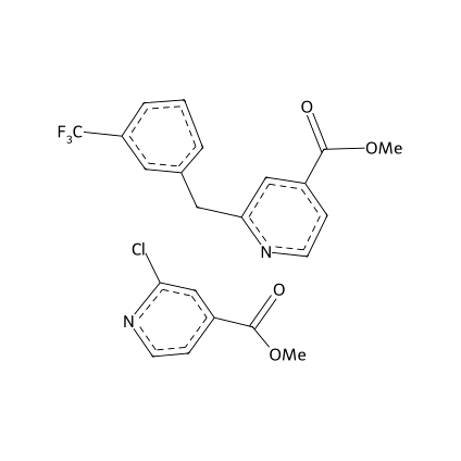 COC(=O)c1ccnc(Cc2cccc(C(F)(F)F)c2)c1.COC(=O)c1ccnc(Cl)c1